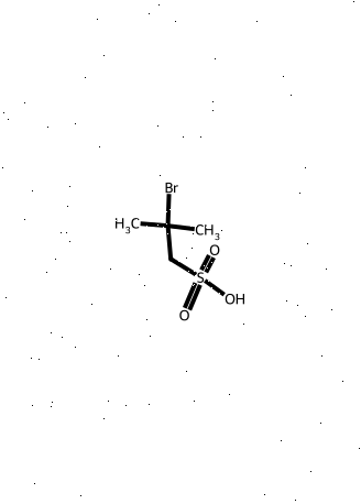 CC(C)(Br)CS(=O)(=O)O